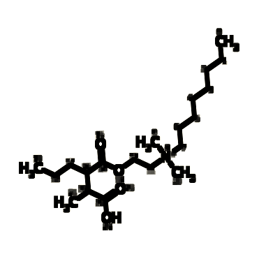 CCCCCCCC[N+](C)(C)CCOC(=O)C(CCC)C(C)C(=O)O